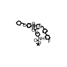 CC(C)(C)OC(=O)NC1CCN(C(=O)[C@@H]2CN(Cc3ccc(-c4ccc(F)cc4)cc3)CCN2S(=O)(=O)c2ccc(OCC3CCCCC3)cc2)CC1